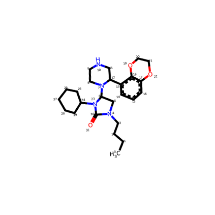 CCCCN1CC(N2CCNCC2c2cccc3c2OCCO3)N(C2CCCCC2)C1=O